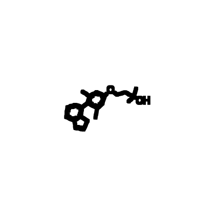 Cc1cc(OCCC(C)(C)O)cc(C)c1-c1cccc2c1CC=C2